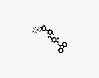 CC(C)(C)Oc1cncc(-c2ccc(C[C@H](NC(=O)OCC3c4ccccc4-c4ccccc43)C(=O)O)cn2)c1